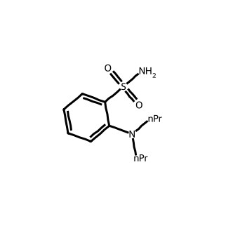 CCCN(CCC)c1ccccc1S(N)(=O)=O